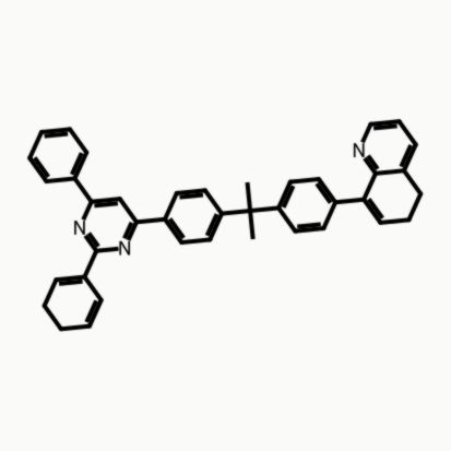 CC(C)(c1ccc(C2=CCCc3cccnc32)cc1)c1ccc(-c2cc(-c3ccccc3)nc(C3=CCCC=C3)n2)cc1